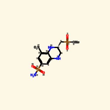 COS(=O)(=O)C[C@@H]1CNc2cc(S(N)(=O)=O)cc([N+](=O)[O-])c2N1